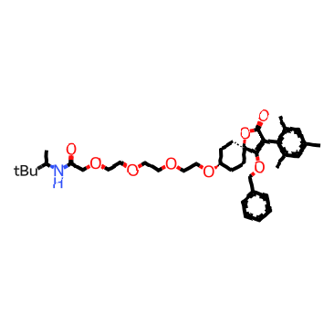 Cc1cc(C)c(C2=C(OCc3ccccc3)[C@]3(CC[C@H](OCCOCCOCCOCC(=O)NC(C)C(C)(C)C)CC3)OC2=O)c(C)c1